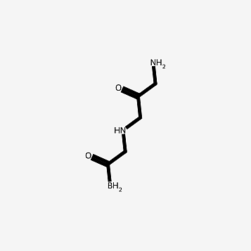 BC(=O)CNCC(=O)CN